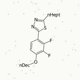 CCCCCCCCCCOc1ccc(-c2nnc(CCCCCCC)s2)c(F)c1F